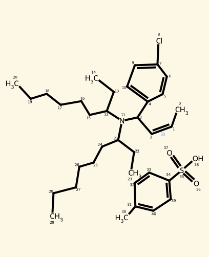 C/C=C\C(c1ccc(Cl)cc1)N(C(CC)CCCCCC)C(CC)CCCCCC.Cc1ccc(S(=O)(=O)O)cc1